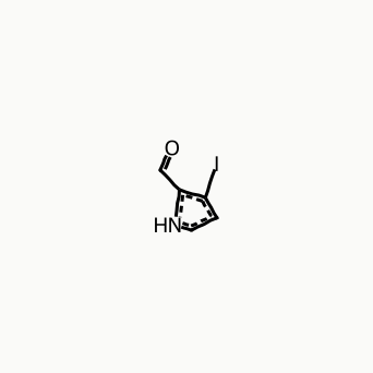 O=Cc1[nH]ccc1I